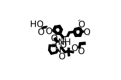 C=CC(=O)OCC(C)(C)C(=O)C(=O)N1CCCC[C@H]1C(=O)N[C@H](CCc1ccc(OC)c(OC)c1)c1cccc(OCC(=O)O)c1